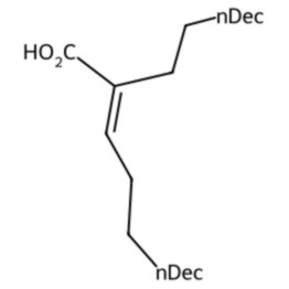 CCCCCCCCCCCCC=C(CCCCCCCCCCCC)C(=O)O